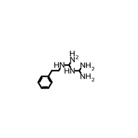 NC(N)NC(N)NCCc1ccccc1